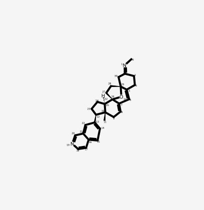 C/N=C1\CCC2=CC3=CC[C@]4(C)[C@@H](c5ccc6ccncc6c5)CC[C@H]4[C@@]34CC[C@]2(C1)O4